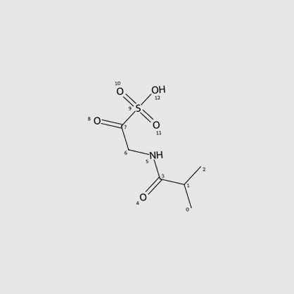 CC(C)C(=O)NCC(=O)S(=O)(=O)O